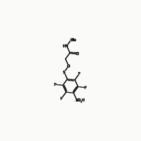 CC(C)(C)NC(=O)COSc1c(F)c(F)c(S(=O)(=O)O)c(F)c1F